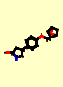 C1CC2CC1O2.COc1ccc(C2CNC(=O)C2)cc1